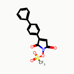 O=C1C=C(c2ccc(-c3ccccc3)cc2)C(=O)N1OS(=O)(=O)C(F)(F)F